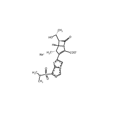 C[C@@H](O)[C@H]1C(=O)N2C(C(=O)[O-])=C(c3cn4cnc(S(=O)(=O)N(C)C)c4s3)[C@H](C)[C@H]12.[Na+]